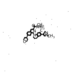 CNC(=O)c1cc2ccc(C3=CCOCC3)cc2c(N2CCCc3cc(-c4cnn(C)c4)c(C)cc32)n1